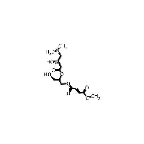 COC(=O)/C=C/C(=O)OCC(CO)OC(=O)C[C@@H](O)CN(C)C